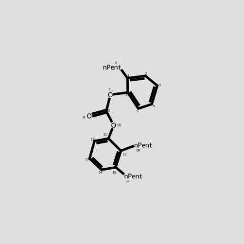 CCCCCc1ccccc1OC(=O)Oc1cccc(CCCCC)c1CCCCC